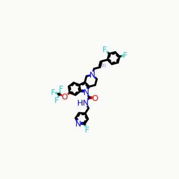 O=C(NCc1ccnc(F)c1)n1c2c(c3ccc(OC(F)(F)F)cc31)CN(C/C=C/c1ccc(F)cc1F)CC2